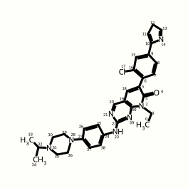 CCn1c(=O)c(-c2ccc(C3=CCC=N3)cc2Cl)cc2cnc(Nc3ccc(N4CCN(C(C)C)CC4)cc3)nc21